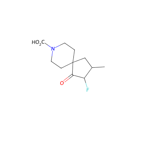 CC1CC2(CCN(C(=O)O)CC2)C(=O)C1F